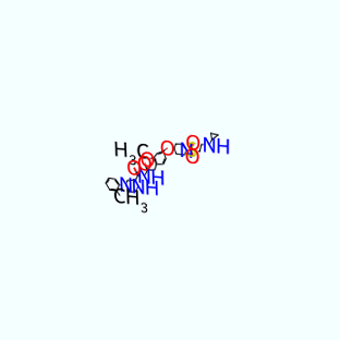 COc1cc(OC2CCN(S(=O)(=O)CCNC3CC3)CC2)ccc1CC(=O)NC(=O)C1CN(c2ccccc2C)CCN1